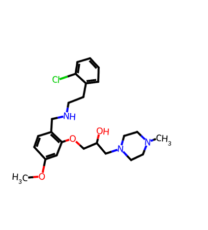 COc1ccc(CNCCc2ccccc2Cl)c(OCC(O)CN2CCN(C)CC2)c1